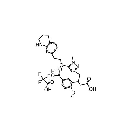 COc1ccc(C(=O)O)cc1C(CC(=O)O)Cc1cc(OCCc2ccc3c(n2)NCCC3)n(C)n1.O=C(O)C(F)(F)F